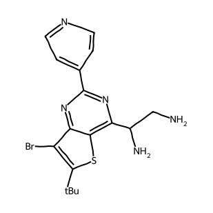 CC(C)(C)c1sc2c(C(N)CN)nc(-c3ccncc3)nc2c1Br